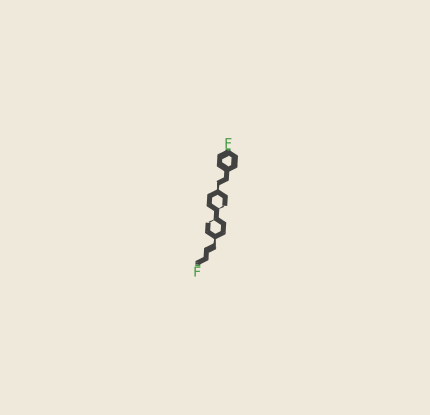 FCCC=C[C@H]1CC[C@H]([C@H]2CC[C@H](CCc3ccc(F)cc3)CC2)CC1